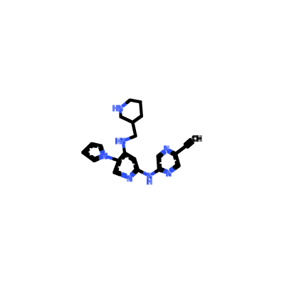 C#Cc1cnc(Nc2cc(NCC3CCCNC3)c(-n3cccc3)cn2)cn1